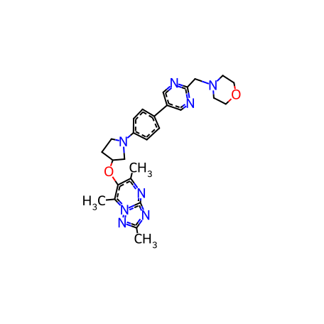 Cc1nc2nc(C)c(OC3CCN(c4ccc(-c5cnc(CN6CCOCC6)nc5)cc4)C3)c(C)n2n1